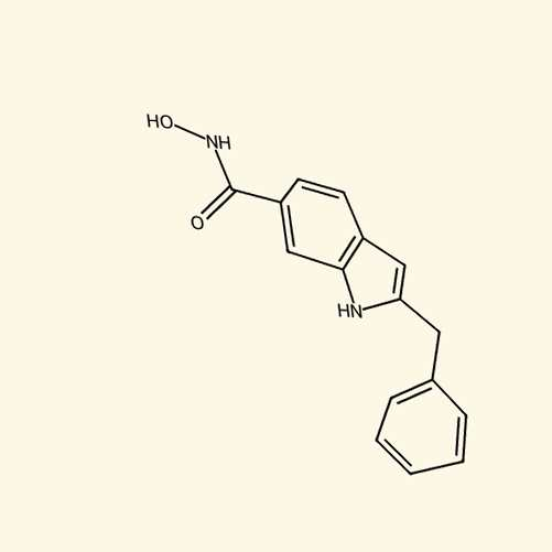 O=C(NO)c1ccc2cc(Cc3ccccc3)[nH]c2c1